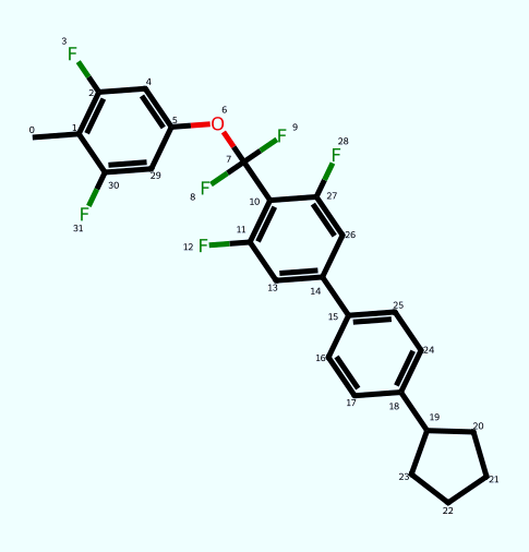 Cc1c(F)cc(OC(F)(F)c2c(F)cc(-c3ccc(C4CCCC4)cc3)cc2F)cc1F